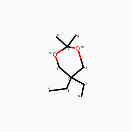 CCC1(CC)COC(C)(C)OC1